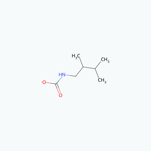 CC(C)C(C)CNC([O])=O